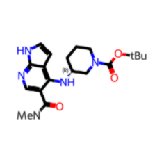 CNC(=O)c1cnc2[nH]ccc2c1N[C@@H]1CCCN(C(=O)OC(C)(C)C)C1